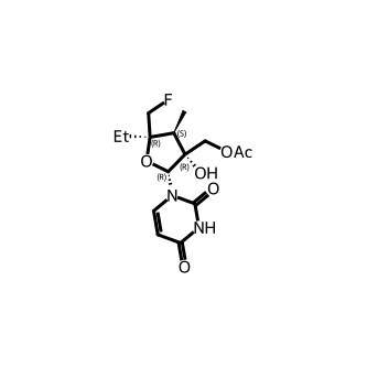 CC[C@@]1(CF)O[C@@H](n2ccc(=O)[nH]c2=O)[C@](O)(COC(C)=O)[C@@H]1C